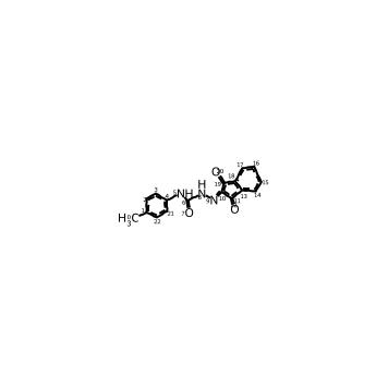 Cc1ccc(NC(=O)NN=c2c(=O)c3ccccc3c2=O)cc1